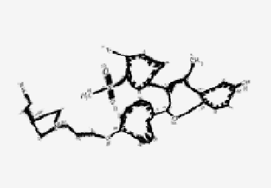 CC1=C(c2ccc(F)c(S(C)(=O)=O)c2)[C@H](c2ccc(OCCN3CC(CF)C3)cc2)Oc2ccc(O)cc21